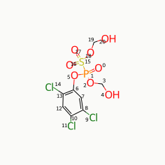 O=P(OCO)(Oc1cc(Cl)c(Cl)cc1Cl)S(=O)(=O)OCO